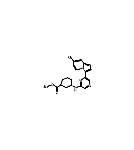 CC(C)(C)OC(=O)N1CCC[C@@H](Nc2cncc(-c3cnc4cc(Cl)ccn34)n2)C1